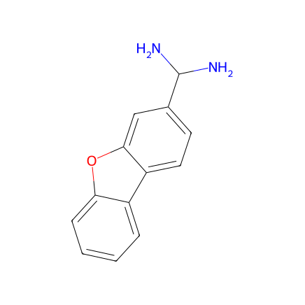 NC(N)c1ccc2c(c1)oc1ccccc12